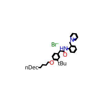 CCCCCCCCCCCCCCOc1ccc(CC(=O)Nc2ccccc2C[n+]2ccccc2)cc1C(C)(C)C.[Br-]